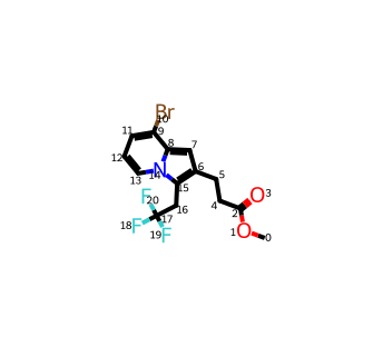 COC(=O)CCc1cc2c(Br)cccn2c1CC(F)(F)F